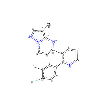 Cc1cc(-c2ncccc2-c2ccn3ncc(C#N)c3n2)ccc1F